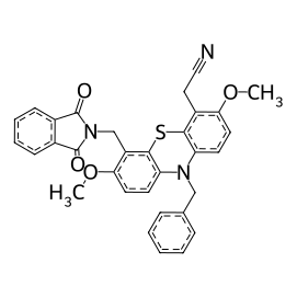 COc1ccc2c(c1CC#N)Sc1c(ccc(OC)c1CN1C(=O)c3ccccc3C1=O)N2Cc1ccccc1